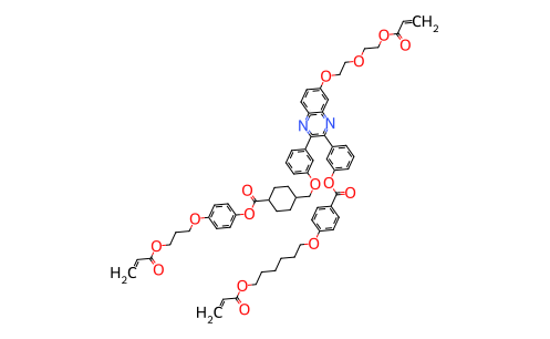 C=CC(=O)OCCCCCCOc1ccc(C(=O)Oc2cccc(-c3nc4cc(OCCOCCOC(=O)C=C)ccc4nc3-c3cccc(OCC4CCC(C(=O)Oc5ccc(OCCCOC(=O)C=C)cc5)CC4)c3)c2)cc1